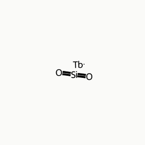 O=[Si]=O.[Tb]